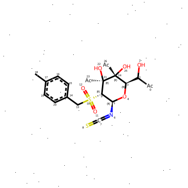 CC(=O)C(O)[C@H]1O[C@@H](N=C=S)[C@H](S(=O)(=O)Cc2ccc(C)cc2)[C@](O)(C(C)=O)[C@@]1(O)C(C)=O